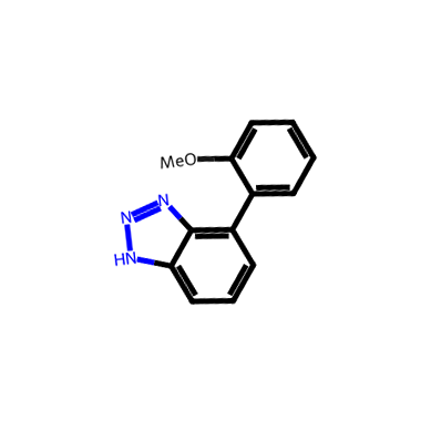 [CH2]Oc1ccccc1-c1cccc2[nH]nnc12